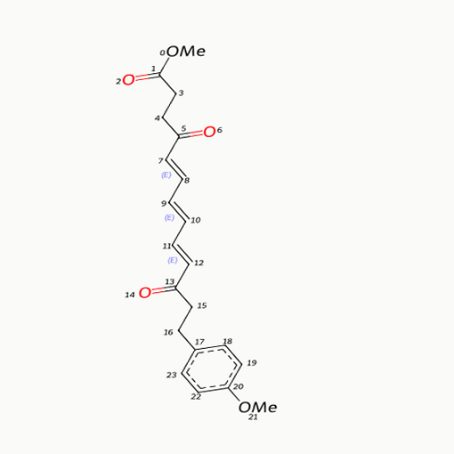 COC(=O)CCC(=O)/C=C/C=C/C=C/C(=O)CCc1ccc(OC)cc1